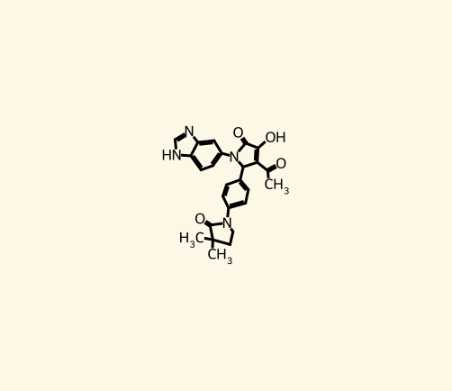 CC(=O)C1=C(O)C(=O)N(c2ccc3[nH]cnc3c2)C1c1ccc(N2CCC(C)(C)C2=O)cc1